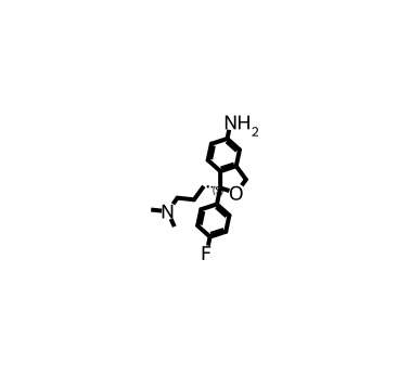 CN(C)CCC[C@@]1(c2ccc(F)cc2)OCc2cc(N)ccc21